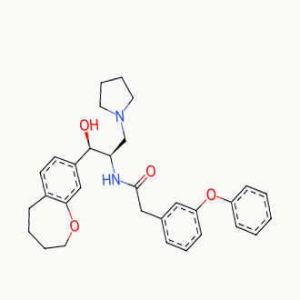 O=C(Cc1cccc(Oc2ccccc2)c1)N[C@H](CN1CCCC1)[C@H](O)c1ccc2c(c1)OCCCC2